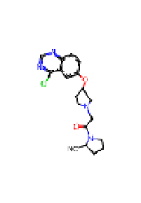 N#CC1CCCN1C(=O)CN1CCC(Oc2ccc3ncnc(Cl)c3c2)C1